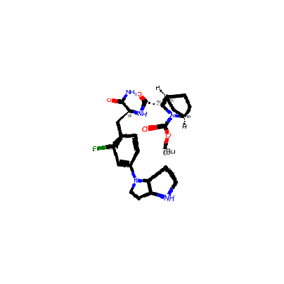 CC(C)(C)OC(=O)N1[C@@H]2CC[C@@H](C2)[C@H]1C(=O)N[C@@H](Cc1ccc(N2CCC3NCCC32)cc1F)C(N)=O